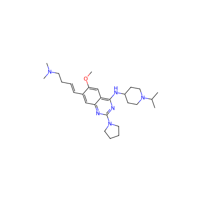 COc1cc2c(NC3CCN(C(C)C)CC3)nc(N3CCCC3)nc2cc1C=CCCN(C)C